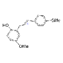 COc1ccc(O)c(C/C=C/c2ccc(SC)cc2)c1